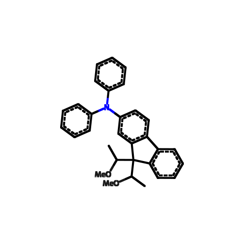 COC(C)C1(C(C)OC)c2ccccc2-c2ccc(N(c3ccccc3)c3ccccc3)cc21